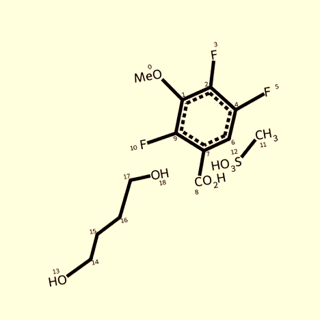 COc1c(F)c(F)cc(C(=O)O)c1F.CS(=O)(=O)O.OCCCCO